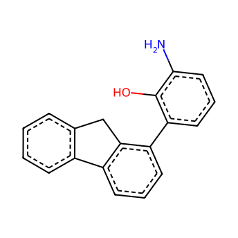 Nc1cccc(-c2cccc3c2Cc2ccccc2-3)c1O